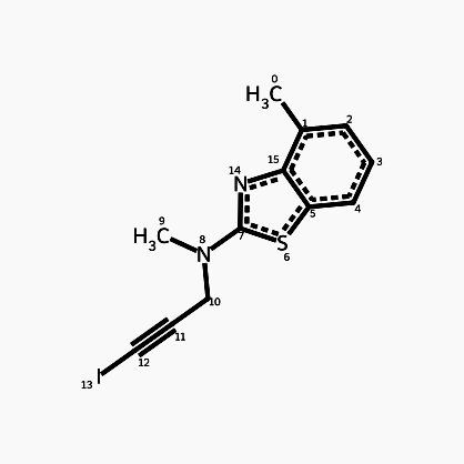 Cc1cccc2sc(N(C)CC#CI)nc12